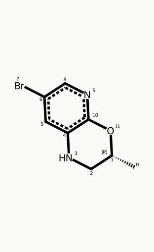 C[C@@H]1CNc2cc(Br)cnc2O1